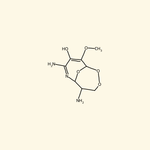 COC1=C(O)C(N)=NC2OC1OOCC2N